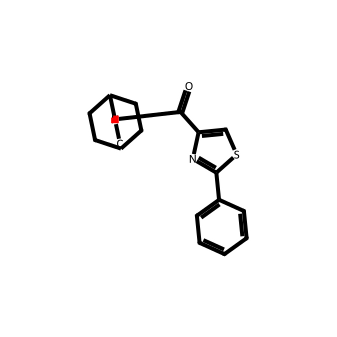 O=C(c1csc(-c2ccccc2)n1)N1CC2CCC(CC2)C1